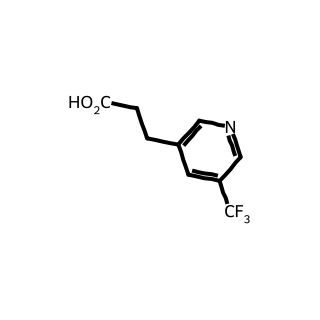 O=C(O)CCc1cncc(C(F)(F)F)c1